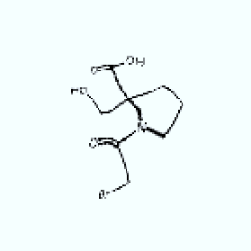 O=C(CBr)N1CCCC1(CO)C(=O)O